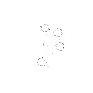 Cc1cc([C@H]2OC(=O)N(Cc3cc(C)ccc3-c3cccc(-c4ccc(C(=O)O)cc4C)c3)[C@H]2C)cc(C(F)(F)F)c1